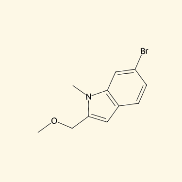 COCc1cc2ccc(Br)cc2n1C